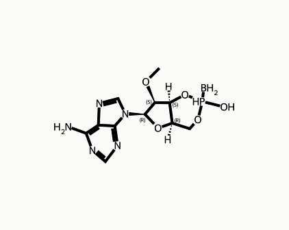 B[PH]1(O)OC[C@H]2O[C@@H](n3cnc4c(N)ncnc43)[C@@H](OC)[C@H]2O1